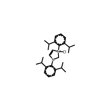 CC(C)c1cccc(C(C)C)c1N1C=C[N+](Cl)(c2c(C(C)C)cccc2C(C)C)C1